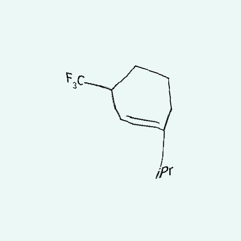 CC(C)C1=CC(C(F)(F)F)CCC1